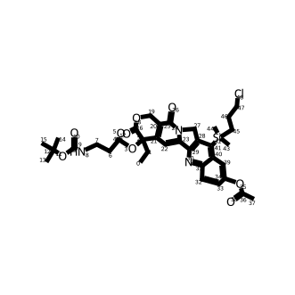 CCC1(OC(=O)CCNC(=O)OC(C)(C)C)C(=O)OCc2c1cc1n(c2=O)Cc2c-1nc1ccc(OC(C)=O)cc1c2[Si](C)(C)CCCCl